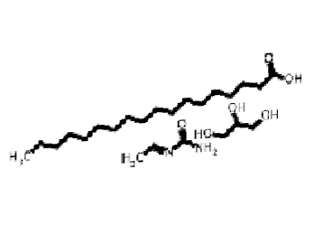 CC=NC(N)=O.CCCCCCCCCCCCCCCCCC(=O)O.OCC(O)CO